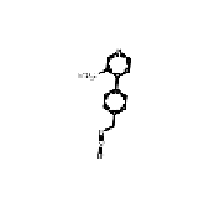 CCOC(=O)c1cnccc1-c1ccc(CN=[N+]=[N-])cc1